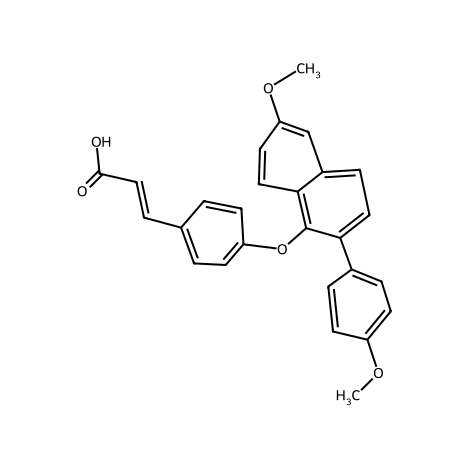 COc1ccc(-c2ccc3cc(OC)ccc3c2Oc2ccc(C=CC(=O)O)cc2)cc1